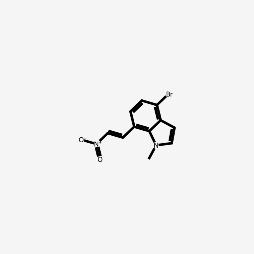 Cn1ccc2c(Br)ccc(/C=C/[N+](=O)[O-])c21